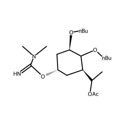 CCCCOC1[C@@H](C(C)OC(C)=O)C[C@H](OC(=N)N(C)C)C[C@H]1OCCCC